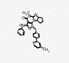 Cc1ccnc(-c2ccc(Cn3nc(Nc4ccccc4)c4c3N3C(=NC5CCCC53)N(C)C4=O)cc2)c1